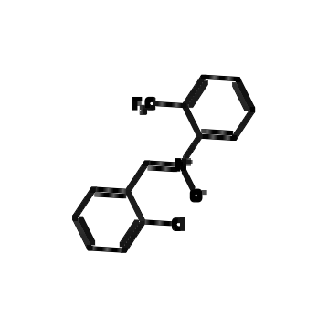 [O-][N+](=Cc1ccccc1Cl)c1ccccc1C(F)(F)F